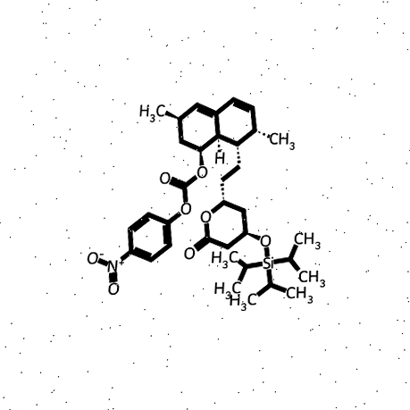 CC(C)[Si](O[C@H]1CC(=O)O[C@H](CC[C@@H]2[C@@H]3C(=C[C@H](C)C[C@@H]3OC(=O)Oc3ccc([N+](=O)[O-])cc3)C=C[C@@H]2C)C1)(C(C)C)C(C)C